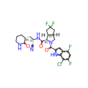 N#C[C@H](C[C@H]1CCCNC1=O)NC(=O)[C@H]1[C@H]2CC(F)(F)C[C@H]2CN1C(=O)c1cc2c(F)cc(F)c(Cl)c2[nH]1